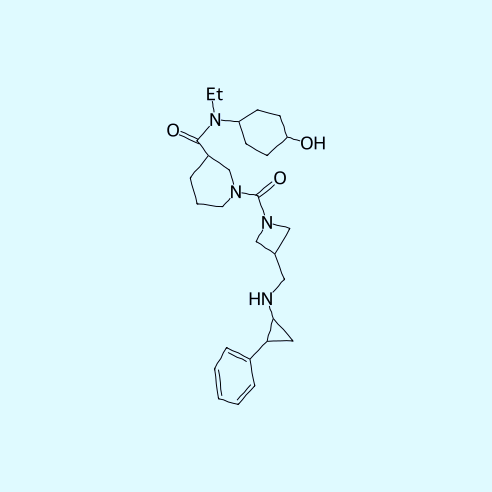 CCN(C(=O)C1CCCN(C(=O)N2CC(CNC3CC3c3ccccc3)C2)C1)C1CCC(O)CC1